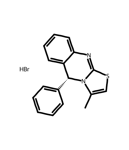 Br.CC1=CSC2=Nc3ccccc3[C@@H](c3ccccc3)N12